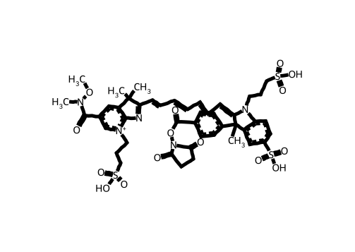 CON(C)C(=O)c1cc2c([n+](CCCS(=O)(=O)O)c1)N=C(/C=C/C=C/C=C/C=C1/N(CCCS(=O)(=O)O)c3ccc(S(=O)(=O)O)cc3C1(C)c1ccc(C(=O)ON3C(=O)CCC3=O)cc1)C2(C)C